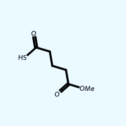 COC(=O)CCCC(=O)S